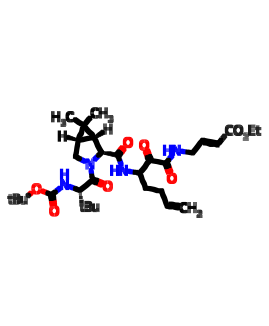 C=CCCC(NC(=O)[C@@H]1[C@@H]2[C@H](CN1C(=O)[C@@H](NC(=O)OC(C)(C)C)C(C)(C)C)C2(C)C)C(=O)C(=O)NC/C=C/C(=O)OCC